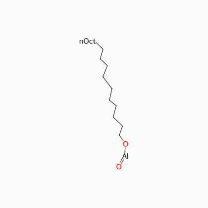 CCCCCCCCCCCCCCCCCC[O][Al]=[O]